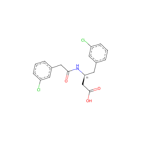 O=C(O)C[C@H](Cc1cccc(Cl)c1)NC(=O)Cc1cccc(Cl)c1